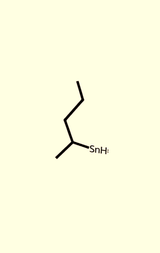 CCC[CH](C)[SnH]